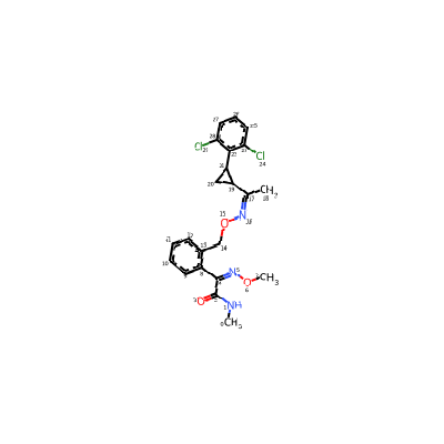 CNC(=O)C(=NOC)c1ccccc1CON=C(C)C1CC1c1c(Cl)cccc1Cl